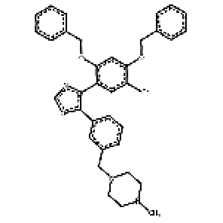 CC(C)c1cc(-c2ncoc2-c2cccc(CN3CCN(C)CC3)c2)c(OCc2ccccc2)cc1OCc1ccccc1